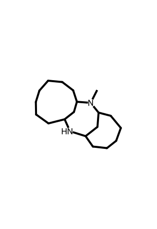 CN1C2CCCCCCCC(C2)NC2CCCCCC1C2